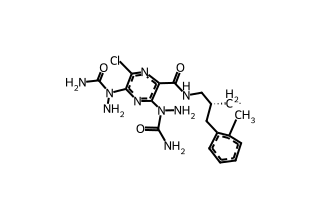 [CH2][C@@H](CNC(=O)c1nc(Cl)c(N(N)C(N)=O)nc1N(N)C(N)=O)Cc1ccccc1C